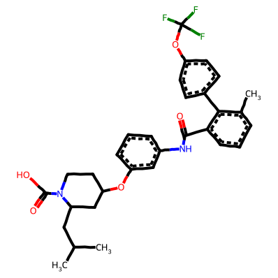 Cc1cccc(C(=O)Nc2cccc(OC3CCN(C(=O)O)C(CC(C)C)C3)c2)c1-c1ccc(OC(F)(F)F)cc1